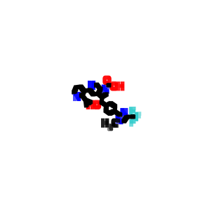 Cn1cc(C(F)(F)F)nc1-c1ccc(C(O)c2cn(C(=O)O)c3cnc(-c4cccnc4C4CC4)cc23)cc1